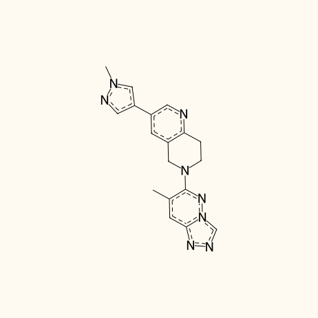 Cc1cc2nncn2nc1N1CCc2ncc(-c3cnn(C)c3)cc2C1